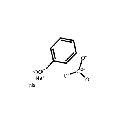 O=C([O-])c1ccccc1.[Na+].[Na+].[O-][Cl+2]([O-])[O-]